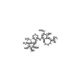 CC[C@@H]1CCC[C@@H](O[C@@H]2OC(CO)[C@H](O)C3O[C@@H](C(C)=O)CCCOC32)C1O[C@@H]1OC(C)[C@@H](O)C(O)[C@@H]1O